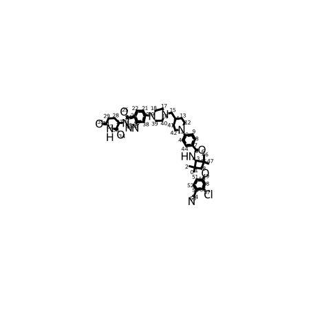 CC1(C)[C@H](NC(=O)c2ccc(N3CCC(CN4CCN(c5ccc6c(=O)n(C7CCC(=O)NC7=O)nnc6c5)CC4)CC3)cc2)C(C)(C)[C@H]1Oc1ccc(C#N)c(Cl)c1